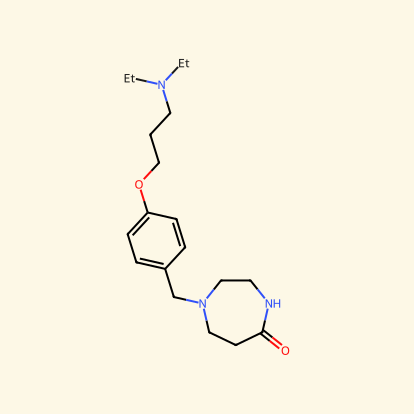 CCN(CC)CCCOc1ccc(CN2CCNC(=O)CC2)cc1